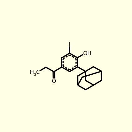 CCC(=O)c1cc(I)c(O)c(C23CC4CC(CC(C4)C2)C3)c1